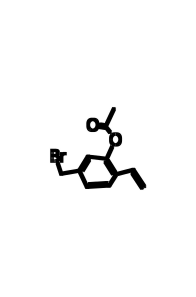 C=Cc1ccc(CBr)cc1OC(C)=O